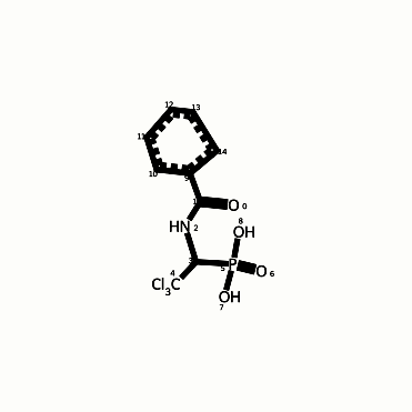 O=C(NC(C(Cl)(Cl)Cl)P(=O)(O)O)c1ccccc1